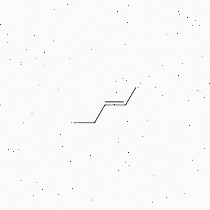 [CH2]/C=C/C[CH2]